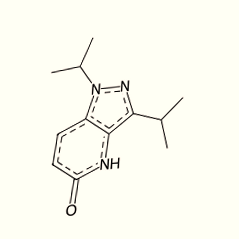 CC(C)c1nn(C(C)C)c2ccc(=O)[nH]c12